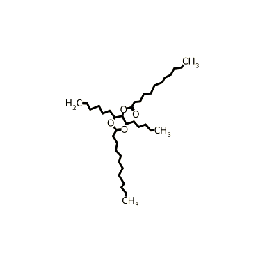 C=CCCCCC(OC(=O)CCCCCCCCCCC)C(CCCCCC)OC(=O)CCCCCCCCCCC